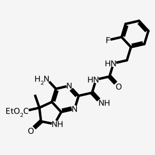 CCOC(=O)C1(C)C(=O)Nc2nc(C(=N)NC(=O)NCc3ccccc3F)nc(N)c21